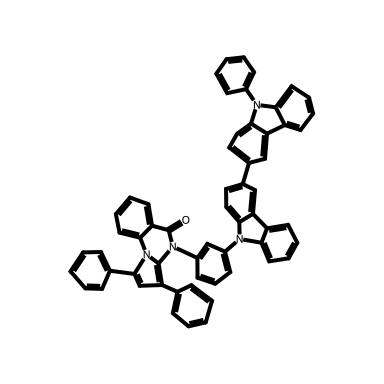 O=c1c2ccccc2n2c(-c3ccccc3)cc(-c3ccccc3)c2n1-c1cccc(-n2c3ccccc3c3cc(-c4ccc5c(c4)c4ccccc4n5-c4ccccc4)ccc32)c1